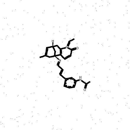 CC=[N+]1C(=O)C=CC2=C1C[C@H]1C=C(C)C[C@]2(N=CC=Cc2cccc(NC(C)=O)c2)C1